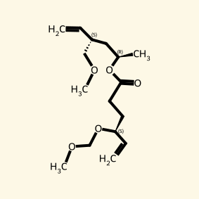 C=C[C@@H](COC)C[C@@H](C)OC(=O)CC[C@@H](C=C)OCOC